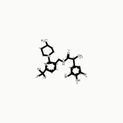 CC1CCN(c2nc(C(F)(F)F)ccc2CNC(=O)C(C)c2cc(Br)c(O)c(Br)c2)CC1